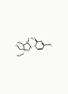 C=C1N=C(N)C=CN1[C@@H]1O[C@@](CO)(CCl)[C@@H](O)[C@H]1F